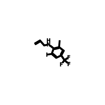 C=CCNc1c(C)cc(C(F)(F)F)cc1I